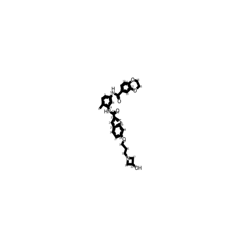 Cc1ccc(NC(=O)c2ccc3c(c2)OCCO3)cc1NC(=O)c1cc2ccc(OCCCN3CC(O)C3)cc2s1